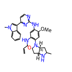 C=CC(=O)Nc1cc(Nc2nccc(-c3cn(C)c4ccccc34)n2)c(OC)cc1N1CC[C@H]2NC(C)C[C@H]21